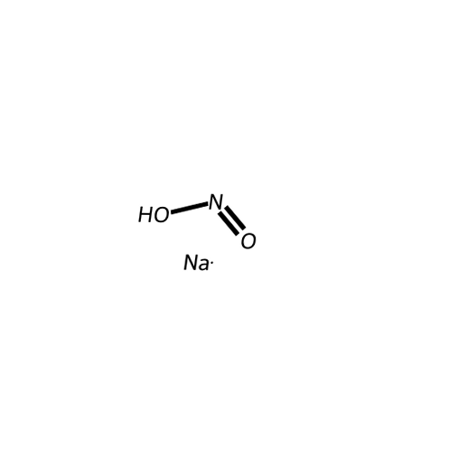 O=NO.[Na]